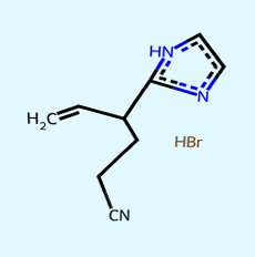 Br.C=CC(CCC#N)c1ncc[nH]1